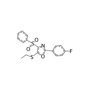 CCSc1oc(-c2ccc(F)cc2)nc1S(=O)(=O)c1ccccc1